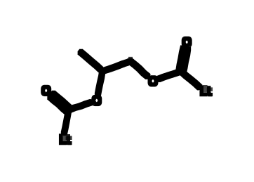 CCC(=O)O[CH]C(C)OC(=O)CC